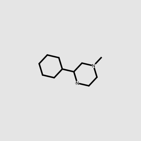 CN1CC[N]C(C2CCCCC2)C1